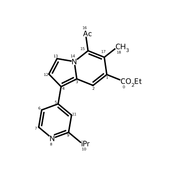 CCOC(=O)c1cc2c(-c3ccnc(C(C)C)c3)ccn2c(C(C)=O)c1C